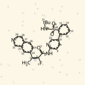 C/C(=C(\F)C(=O)Nc1ccc(-c2ccccc2S(=O)(=O)NC(C)(C)C)cn1)c1ccc2ccncc2c1